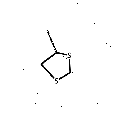 CC1CS[CH]S1